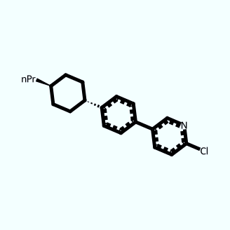 CCC[C@H]1CC[C@H](c2ccc(-c3ccc(Cl)nc3)cc2)CC1